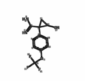 N=C(N)C1(c2ccc(OC(F)(F)F)cc2)CC1O